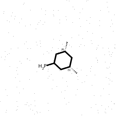 C[C@@H]1CC(P)C[C@H](C)C1